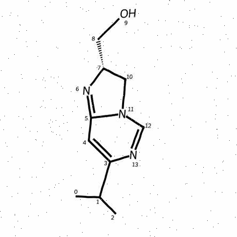 CC(C)C1=CC2=N[C@H](CO)CN2C=N1